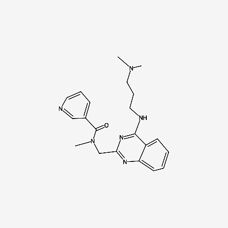 CN(C)CCCNc1nc(CN(C)C(=O)c2cccnc2)nc2ccccc12